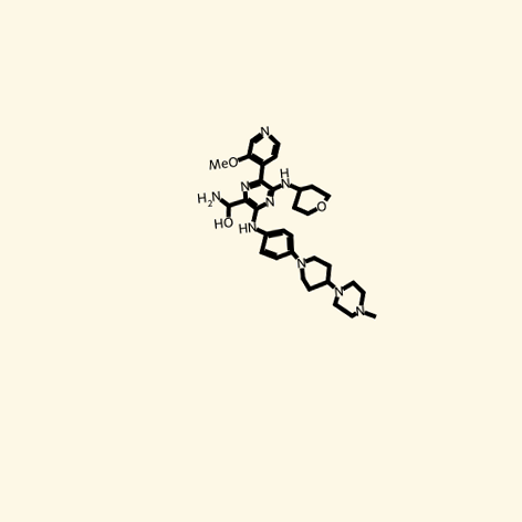 COc1cnccc1-c1nc(C(N)O)c(Nc2ccc(N3CCC(N4CCN(C)CC4)CC3)cc2)nc1NC1CCOCC1